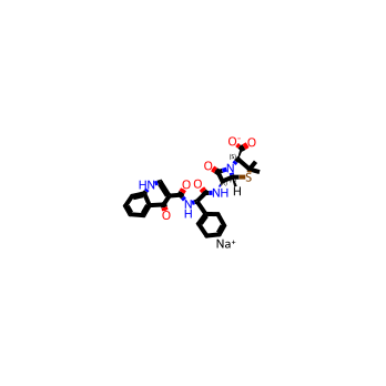 CC1(C)S[C@@H]2[C@H](NC(=O)C(NC(=O)c3c[nH]c4ccccc4c3=O)C3=CCC=CC3)C(=O)N2[C@H]1C(=O)[O-].[Na+]